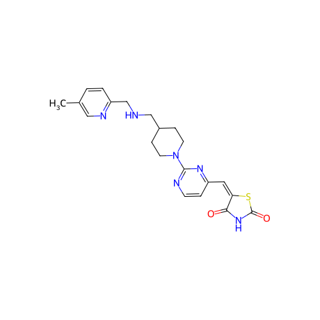 Cc1ccc(CNCC2CCN(c3nccc(C=C4SC(=O)NC4=O)n3)CC2)nc1